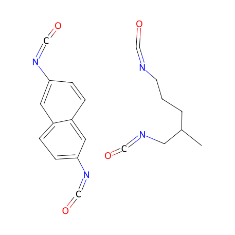 CC(CCCN=C=O)CN=C=O.O=C=Nc1ccc2cc(N=C=O)ccc2c1